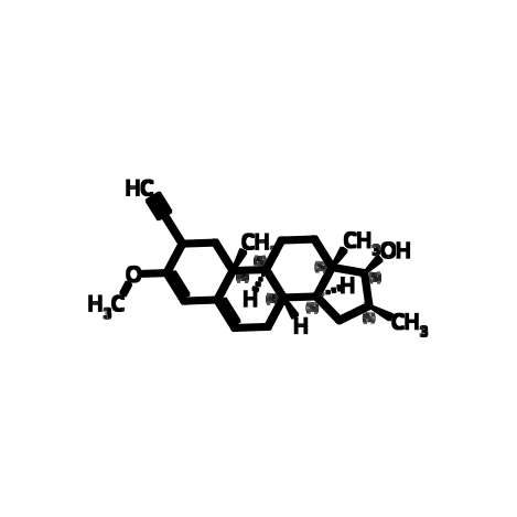 C#CC1C[C@@]2(C)C(=CC[C@H]3[C@@H]4C[C@H](C)[C@H](O)[C@@]4(C)CC[C@@H]32)C=C1OC